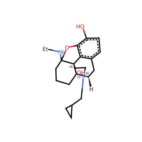 CCNC12CCC[C@@]3(O)[C@H]4Cc5ccc(O)c(c5[C@@]13CCN4CC1CC1)O2